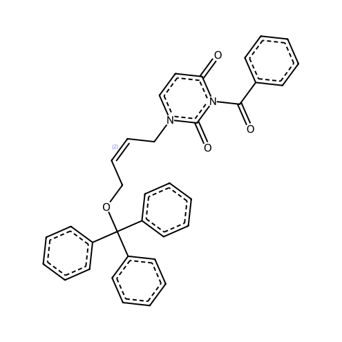 O=C(c1ccccc1)n1c(=O)ccn(C/C=C\COC(c2ccccc2)(c2ccccc2)c2ccccc2)c1=O